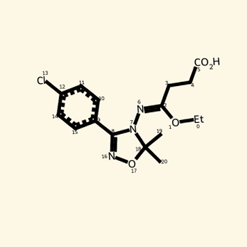 CCOC(CCC(=O)O)=NN1C(c2ccc(Cl)cc2)=NOC1(C)C